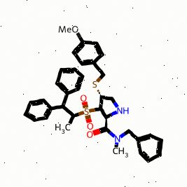 COc1ccc(CS[C@@H]2CN[C@@H](C(=O)N(C)Cc3ccccc3)C2S(=O)(=O)C(C)C(c2ccccc2)c2ccccc2)cc1